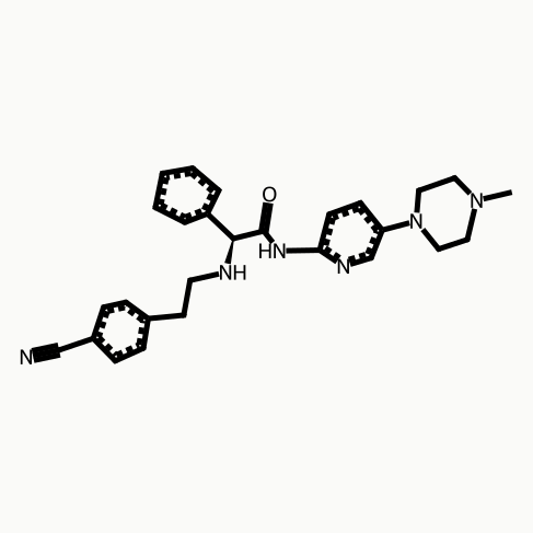 CN1CCN(c2ccc(NC(=O)[C@@H](NCCc3ccc(C#N)cc3)c3ccccc3)nc2)CC1